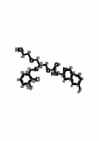 O=C(Nc1cc2cc(F)ccc2cn1)OC[C@H](COCCO)[N]Cc1cccc(F)c1Cl